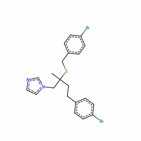 CC(CCc1ccc(Br)cc1)(Cn1ccnc1)SCc1ccc(Br)cc1